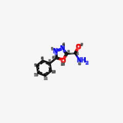 NC(=O)c1nnc(-c2ccccc2)o1